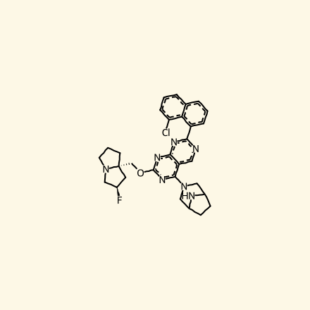 F[C@H]1CN2CCC[C@@]2(COc2nc(N3CC4CCC(C3)N4)c3cnc(-c4cccc5cccc(Cl)c45)nc3n2)C1